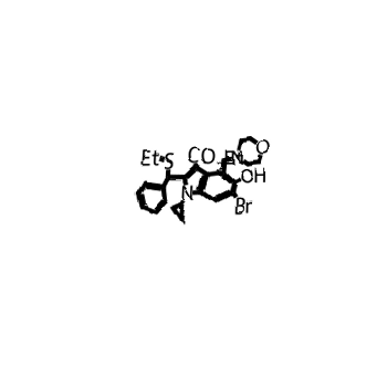 CCOC(=O)c1c(C(SCC)c2ccccc2)n(C2CC2)c2cc(Br)c(O)c(CN3CCOCC3)c12